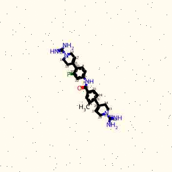 Cc1cc(C(=O)Nc2ccc(C3=CCN(C(=N)N)CC3)c(F)c2)ccc1C1=CCN(C(=N)N)CC1